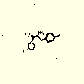 C=C([C@H](N)Cc1ccc(F)cc1)N1CC[C@H](F)C1